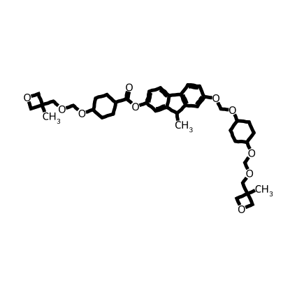 CC1c2cc(OCOC3CCC(OCOCC4(C)COC4)CC3)ccc2-c2ccc(OC(=O)C3CCC(OCOCC4(C)COC4)CC3)cc21